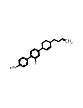 C=CCCC1C=CC(c2ccc(-c3ccc(CCC)cc3)c(F)c2)CC1